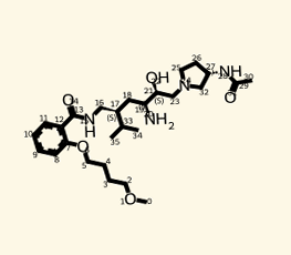 COCCCCOc1ccccc1C(=O)NC[C@@H](C[C@H](N)[C@@H](O)CN1CC[C@H](NC(C)=O)C1)C(C)C